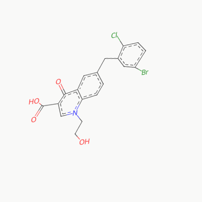 O=C(O)c1cn(CCO)c2ccc(Cc3cc(Br)ccc3Cl)cc2c1=O